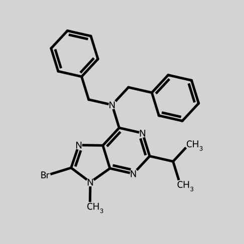 CC(C)c1nc(N(Cc2ccccc2)Cc2ccccc2)c2nc(Br)n(C)c2n1